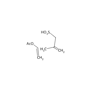 C=C(C)CS(=O)(=O)O.C=COC(C)=O